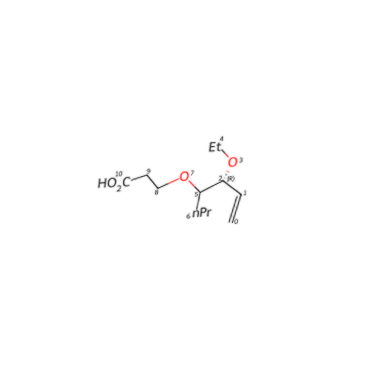 C=C[C@@H](OCC)C(CCC)OCCC(=O)O